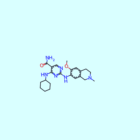 COc1cc2c(cc1Nc1ncc(C(N)=O)c(NC3CCCCC3)n1)CN(C)CC2